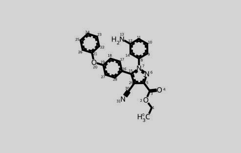 CCOC(=O)c1nn(-c2cccc(N)c2)c(-c2ccc(Oc3ccccc3)cc2)c1C#N